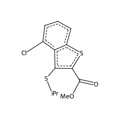 COC(=O)c1sc2cccc(Cl)c2c1SC(C)C